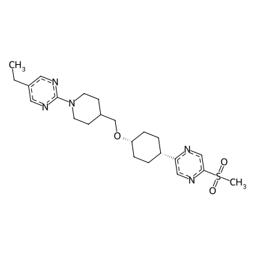 CCc1cnc(N2CCC(CO[C@H]3CC[C@@H](c4cnc(S(C)(=O)=O)cn4)CC3)CC2)nc1